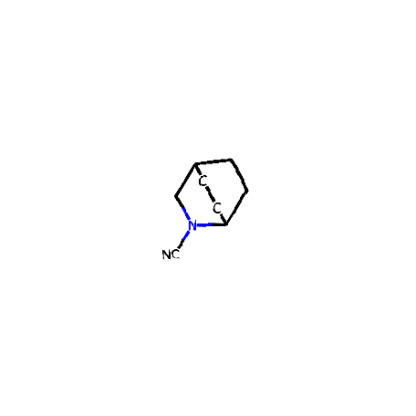 N#CN1CC2CCC1CC2